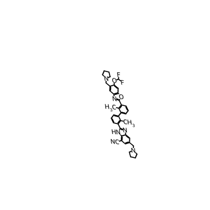 Cc1c(-c2nc3cc(CN4CCCC4)cc(C#N)c3[nH]2)cccc1-c1cccc(-c2nc3cc(CN4CCCC4)c(OC(F)F)cc3o2)c1C